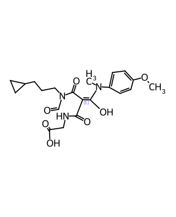 COc1ccc(N(C)/C(O)=C(/C(=O)NCC(=O)O)C(=O)N(C=O)CCCC2CC2)cc1